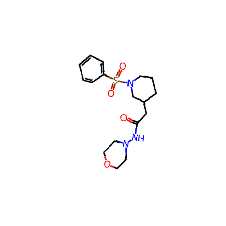 O=C(CC1CCCN(S(=O)(=O)c2ccccc2)C1)NN1CCOCC1